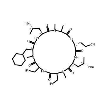 CCCC[C@@H](C)C[C@@H]1NC(=O)[C@H](CC2CCCCC2)N(C)C(=O)C(CC(C)C)NC(=O)C(CC(C)C)N(C)C(=O)[C@H](C[C@H](C)CCCC)NC(=O)[C@@H](CCC#N)OC(=O)C(C)N(C)C1=O